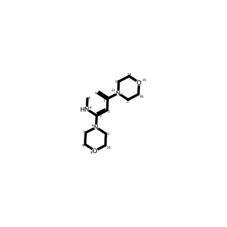 C=C(/C=C(\NC)N1CCOCC1)N1CCOCC1